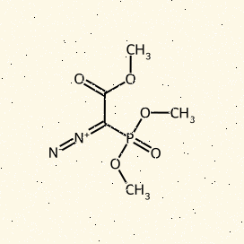 COC(=O)C(=[N+]=[N-])P(=O)(OC)OC